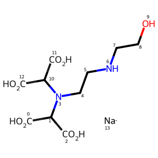 O=C(O)C(C(=O)O)N(CCNCCO)C(C(=O)O)C(=O)O.[Na]